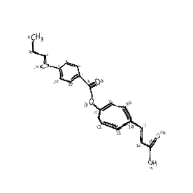 CCCOc1ccc(C(=O)Oc2ccc(/C=C/C(=O)O)cc2)cc1